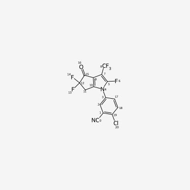 N#Cc1cc(-n2c(F)c(C(F)(F)F)c3c2CC(F)(F)C3=O)ccc1Cl